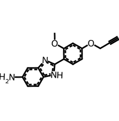 C#CCOc1ccc(-c2nc3cc(N)ccc3[nH]2)c(OC)c1